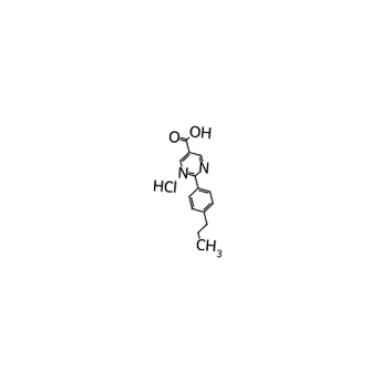 CCCc1ccc(-c2ncc(C(=O)O)cn2)cc1.Cl